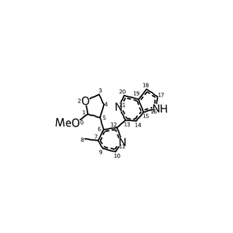 COC1OCCC1c1c(C)ccnc1-c1cc2[nH]ccc2cn1